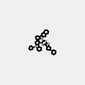 c1ccc(-c2ccc3c(c2)oc2nc(-n4c5ccccc5c5cc6ccccc6cc54)c(-c4cccc5c4c4ccccc4n5-c4ccccc4)nc23)cc1